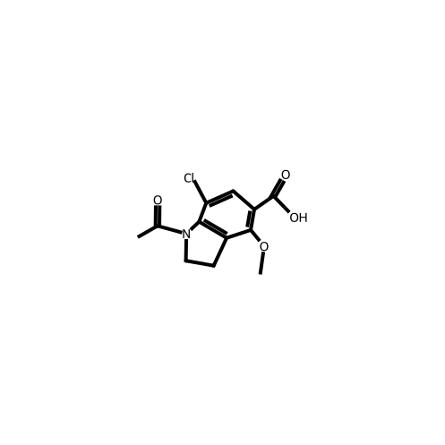 COc1c(C(=O)O)cc(Cl)c2c1CCN2C(C)=O